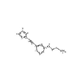 NCCOc1cccc(C#Cc2ccsc2)c1